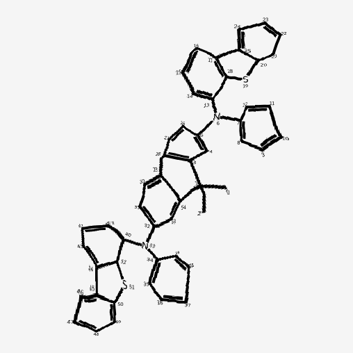 CC1(C)c2cc(N(c3ccccc3)c3cccc4c3SC3CC=CC=C43)ccc2-c2ccc(N(c3ccccc3)C3C=CC=C4c5ccccc5SC43)cc21